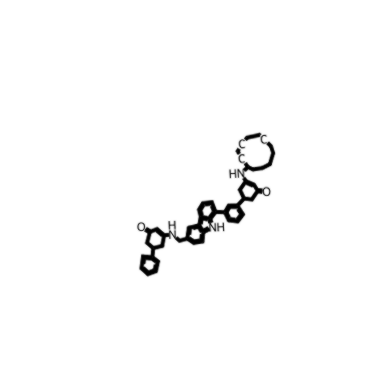 O=C1C=C(NCc2ccc3[nH]c4c(-c5cccc(C6CC(=O)C=C(NC7CCCCCCCCCCC7)C6)c5)cccc4c3c2)CC(c2ccccc2)C1